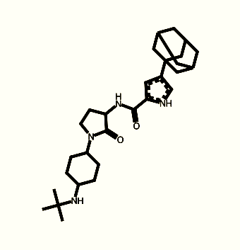 CC(C)(C)NC1CCC(N2CCC(NC(=O)c3cc(C45CC6CC(CC(C6)C4)C5)c[nH]3)C2=O)CC1